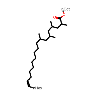 CCCCCC/C=C\CCCCCCCCC(C)CC(C)CC(C)CC(C)C(=O)OCCCCCCCC